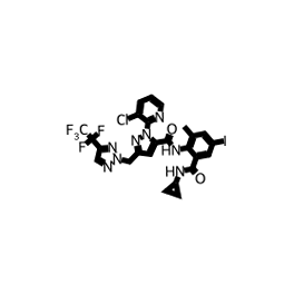 Cc1cc(I)cc(C(=O)NC2CC2)c1NC(=O)c1cc(Cn2ncc(C(F)(F)C(F)(F)F)n2)nn1-c1ncccc1Cl